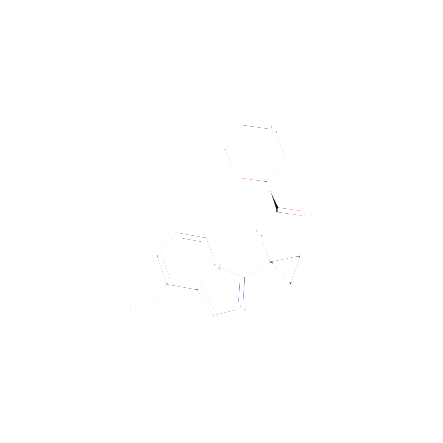 Cc1cccn2c(C3(NC(=O)[C@@H]4CNCCO4)CC3)ncc12